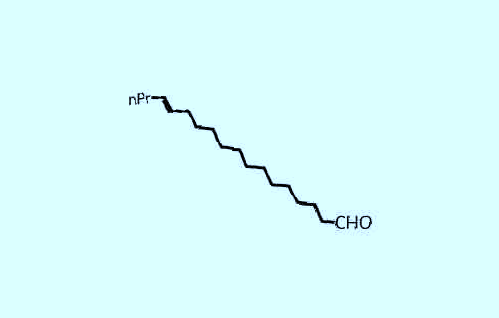 CCC/C=C/CCCCCCCCCCCCC=O